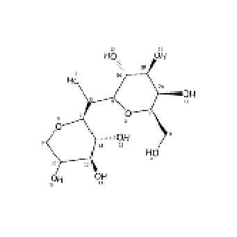 OC[C@H]1OC(C(O)[C@@H]2OC[C](O)[C@H](O)[C@H]2O)[C@H](O)[C@@H](O)[C@H]1O